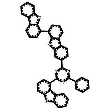 c1ccc(-c2nc(-c3ccc4c(c3)sc3c(-c5cccc6c5oc5ccccc56)cccc34)nc(-c3cccc4sc5ccccc5c34)n2)cc1